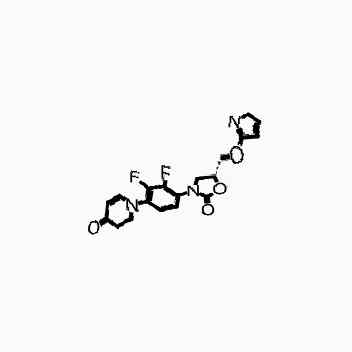 O=C1C=CN(c2ccc(N3C[C@H](COC4=NCC=C4)OC3=O)c(F)c2F)CC1